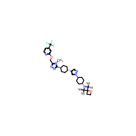 [2H]C1([2H])N([C@H]2CC[C@H](n3cc([C@H]4CC[C@H](c5nnc(COc6cc(C(F)(F)F)ccn6)n5C)CC4)cn3)CC2)C([2H])([2H])C12CCO2